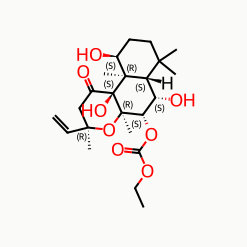 C=C[C@@]1(C)CC(=O)[C@]2(O)[C@@]3(C)[C@@H](O)CCC(C)(C)[C@@H]3[C@H](O)[C@H](OC(=O)OCC)[C@@]2(C)O1